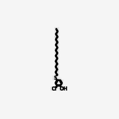 CCCCCCCCCCCCCCCCCCSc1ccc(O)c(Cl)c1